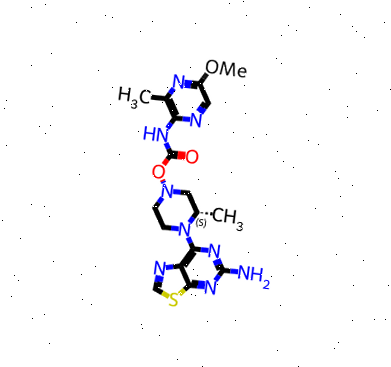 COc1cnc(NC(=O)ON2CCN(c3nc(N)nc4scnc34)[C@@H](C)C2)c(C)n1